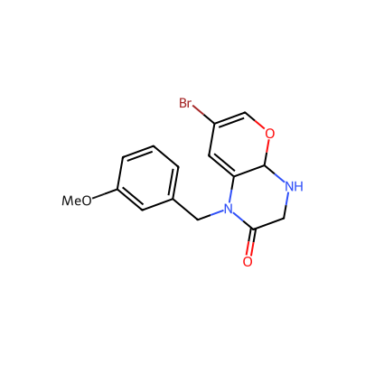 COc1cccc(CN2C(=O)CNC3OC=C(Br)C=C32)c1